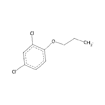 [CH2]CCOc1ccc(Cl)cc1Cl